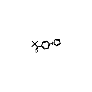 CC(C)(C)C(=O)c1ccc(-n2cccc2)cc1